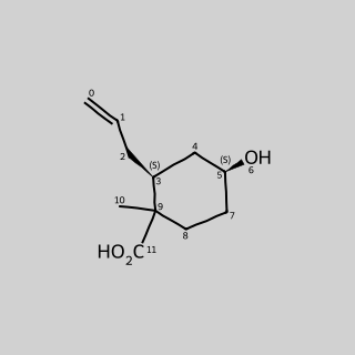 C=CC[C@H]1C[C@@H](O)CCC1(C)C(=O)O